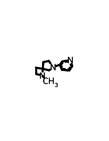 CN1CCC12CCN(c1cccnc1)C2